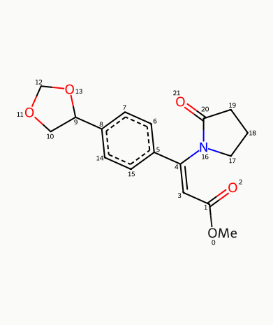 COC(=O)/C=C(/c1ccc(C2COCO2)cc1)N1CCCC1=O